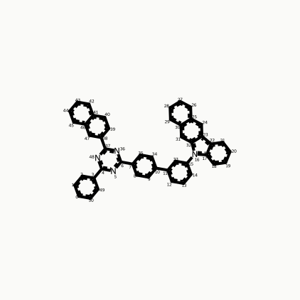 c1ccc(-c2nc(-c3ccc(-c4cccc(-n5c6ccccc6c6cc7ccccc7cc65)c4)cc3)nc(-c3ccc4ccccc4c3)n2)cc1